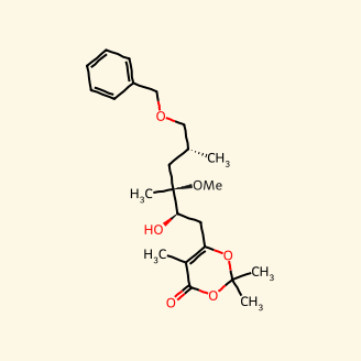 CO[C@@](C)(C[C@@H](C)COCc1ccccc1)[C@H](O)CC1=C(C)C(=O)OC(C)(C)O1